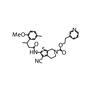 COc1ccc(C)cc1C(C)CC(=O)Nc1sc2c(c1C#N)CCN(C(=O)OCCc1cccnc1)C2